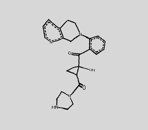 O=C(C1CC1(O)C(=O)c1ccccc1N1CCc2cccnc2C1)N1CCNCC1